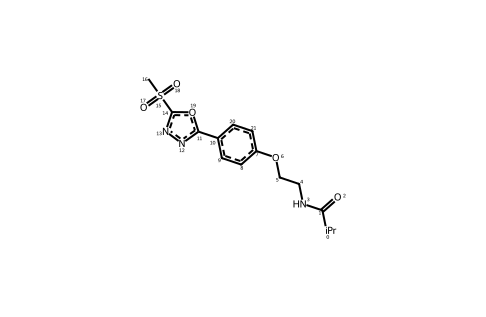 CC(C)C(=O)NCCOc1ccc(-c2nnc(S(C)(=O)=O)o2)cc1